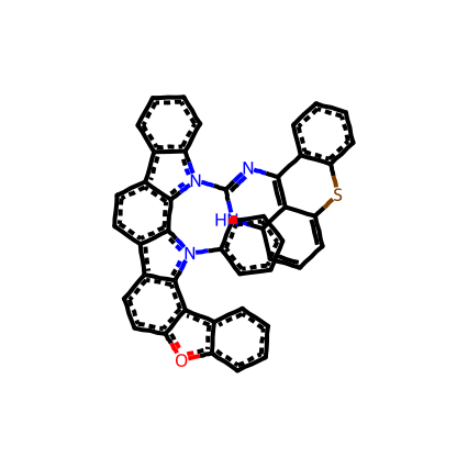 C1=CC2NC(n3c4ccccc4c4ccc5c6ccc7oc8ccccc8c7c6n(-c6ccccc6)c5c43)=NC3=C2C(=C1)Sc1ccccc13